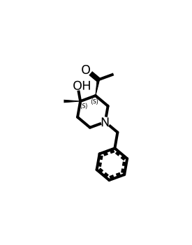 CC(=O)[C@H]1CN(Cc2ccccc2)CC[C@]1(C)O